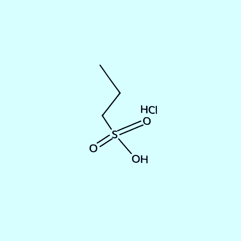 CCCS(=O)(=O)O.Cl